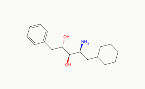 N[C@@H](CC1CCCCC1)[C@@H](O)[C@@H](O)Cc1ccccc1